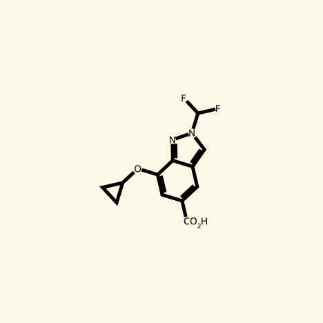 O=C(O)c1cc(OC2CC2)c2nn(C(F)F)cc2c1